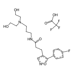 O=C(CCc1cnoc1-c1ccc(F)cc1)NCCCN(CCO)CCO.O=C(O)C(F)(F)F